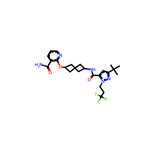 CC(C)(C)c1cc(C(=O)NC2CC3(C2)CC(Oc2ncccc2C(N)=O)C3)n(CCC(F)(F)F)n1